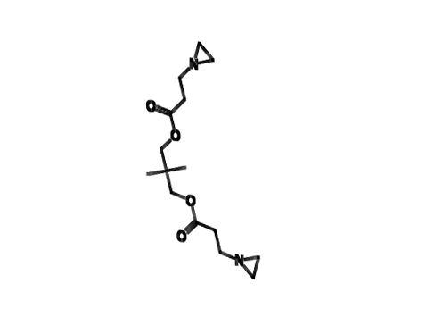 CC(C)(COC(=O)CCN1CC1)COC(=O)CCN1CC1